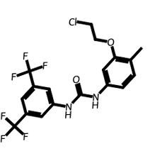 Cc1ccc(NC(=O)Nc2cc(C(F)(F)F)cc(C(F)(F)F)c2)cc1OCCCl